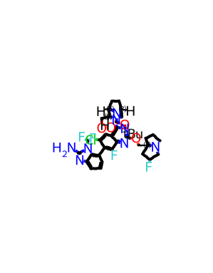 CC(C)(C)OC(=O)N1[C@@H]2CC[C@H]1[C@H]1COc3c(Cl)c(-c4cccc5nc(N)n(C(F)F)c45)c(F)c4nc(OC[C@@]56CCCN5CC(F)C6)nc(c34)N1C2